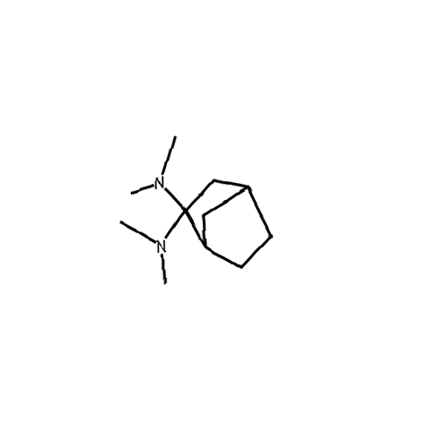 CN(C)C1(N(C)C)CC2CCC1C2